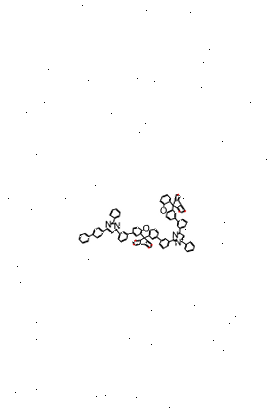 c1ccc(-c2ccc(-c3cc(-c4cccc(-c5ccc6c(c5)C5(c7cc(-c8cccc(-c9nc(-c%10ccccc%10)cc(-c%10cccc(-c%11ccc%12c(c%11)C%11(c%13ccccc%13O%12)c%12ccccc%12-c%12ccccc%12%11)c%10)n9)c8)ccc7O6)c6ccccc6-c6ccccc65)c4)nc(-c4ccccc4)n3)cc2)cc1